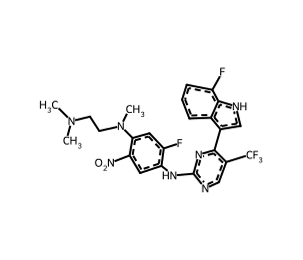 CN(C)CCN(C)c1cc(F)c(Nc2ncc(C(F)(F)F)c(-c3c[nH]c4c(F)cccc34)n2)cc1[N+](=O)[O-]